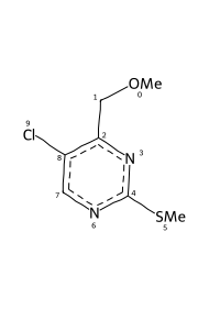 COCc1nc(SC)ncc1Cl